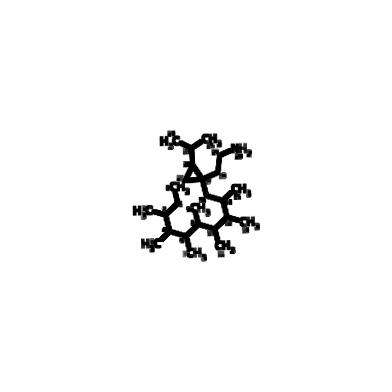 CCC(C)C(C)C(C)C(C)C(C)C(C)C(C)CC1(CCN)CC1C(C)C